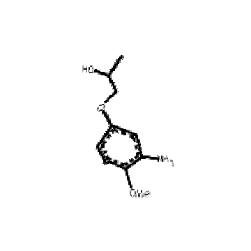 COc1ccc(OCC(C)O)cc1N